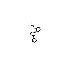 OCCOc1ccccc1-c1nc(O)nc(-c2ccc(Cl)cc2)n1